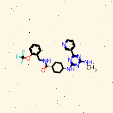 CNc1nc(N[C@H]2CC[C@@H](C(=O)NCc3ccccc3OC(F)(F)F)CC2)nc(-c2cccnc2)n1